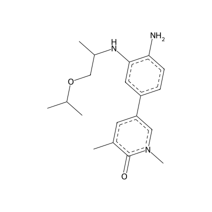 Cc1cc(-c2ccc(N)c(NC(C)COC(C)C)c2)cn(C)c1=O